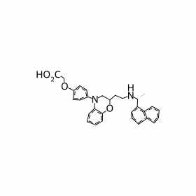 C[C@@H](NCCC1CN(c2ccc(OCC(=O)O)cc2)c2ccccc2O1)c1cccc2ccccc12